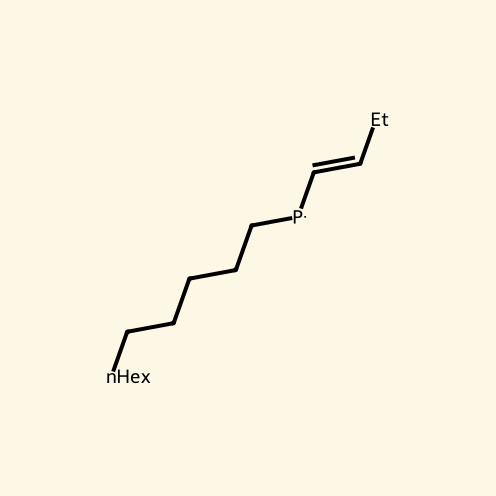 CCC=C[P]CCCCCCCCCCC